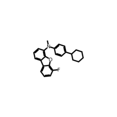 CN(c1ccc(C2CCCCC2)cc1)c1cccc2c1oc1c(F)cccc12